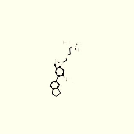 C[Si](C)(C)CCOCn1ncc2cc(-c3ccc4c(c3)CCC4)c(N)cc21